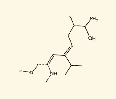 CN/C(=C\C(=N/CC(C)C(N)O)C(C)C)COC